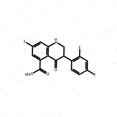 COC(=O)c1cc(F)cc2c1C(=O)C(c1ccc(F)cc1F)CN2